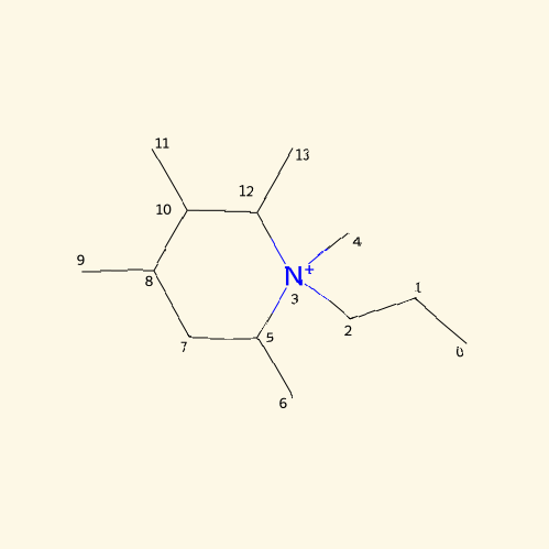 CCC[N+]1(C)C(C)CC(C)C(C)C1C